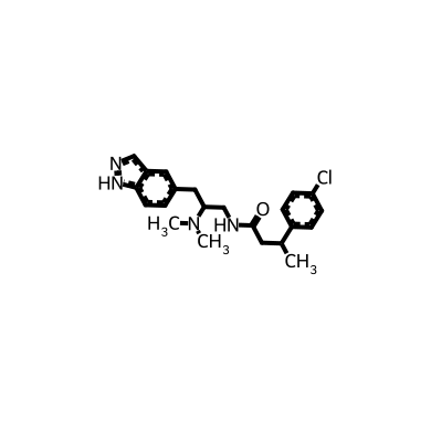 CC(CC(=O)NCC(Cc1ccc2[nH]ncc2c1)N(C)C)c1ccc(Cl)cc1